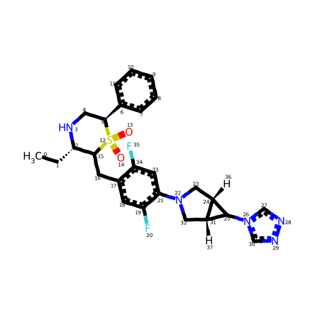 CC[C@@H]1NC[C@@H](c2ccccc2)S(=O)(=O)C1Cc1cc(F)c(N2C[C@@H]3C(n4cnnc4)[C@@H]3C2)cc1F